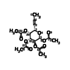 CC#C[C@@H]1OC(OC(C)=O)[C@@H](OC(C)=O)[C@H](OC(C)=O)[C@@H]1OC(C)=O